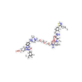 Cc1ncsc1-c1ccc(CNC(=O)C2=CCCN2C(=O)[C@@H](NC(=O)COCCOCCOCCN2CCN(Cc3ccc4c(c3)nc(NC(=O)c3cccc(C(F)(F)F)c3)n4[C@H]3CC[C@@H](CO)CC3)CC2)C(C)(C)C)cc1